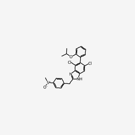 CC(C)Oc1ccccc1-c1c(Cl)cc2[nH]c(Cc3ccc([S+](C)[O-])cc3)nc2c1Cl